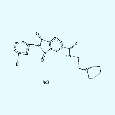 Cl.O=C(NCCN1CCCCC1)c1ccc2c(c1)C(=O)N(c1cccc(Cl)c1)C2=O